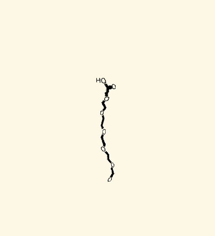 O=[C]COCCOCCOCCOCCOCC(=O)O